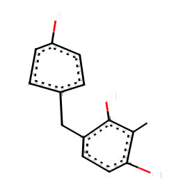 Cc1c(O)ccc(Cc2ccc(O)cc2)c1O